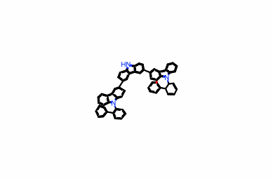 C1=CC(c2ccccc2)C(n2c3ccccc3c3cc(-c4ccc5[nH]c6ccc(-c7ccc8c(c7)c7ccccc7n8-c7ccccc7-c7ccccc7)cc6c5c4)ccc32)C=C1